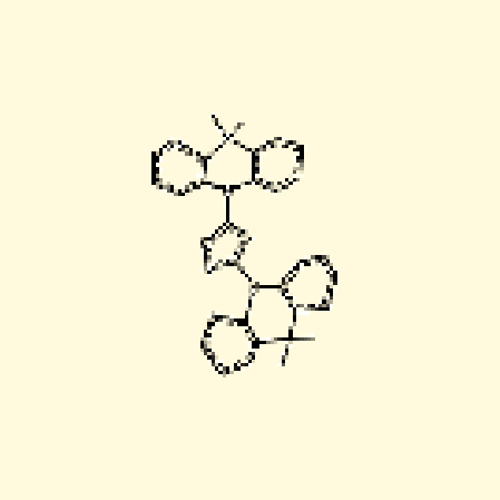 CC1(C)c2ccccc2N(c2nsc(N3c4ccccc4C(C)(C)c4ccccc43)n2)c2ccccc21